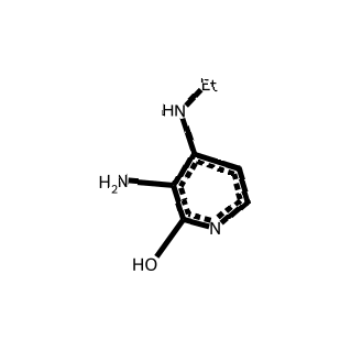 CCNc1ccnc(O)c1N